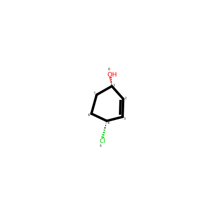 O[C@@H]1C=C[C@H](Cl)CC1